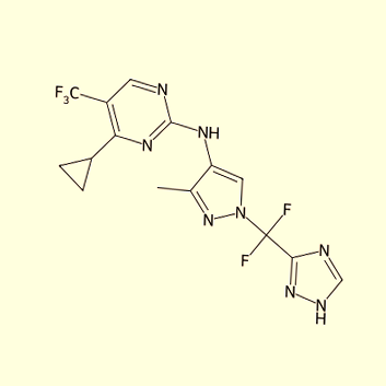 Cc1nn(C(F)(F)c2nc[nH]n2)cc1Nc1ncc(C(F)(F)F)c(C2CC2)n1